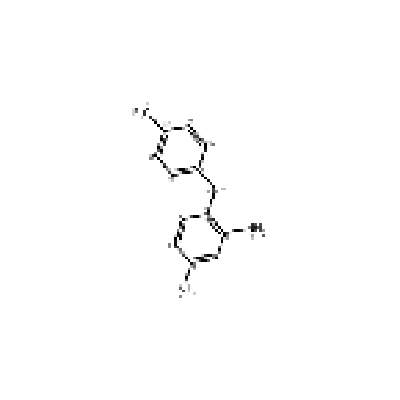 Nc1cc(C(F)(F)F)ccc1Nc1ccc(C(F)(F)F)cc1